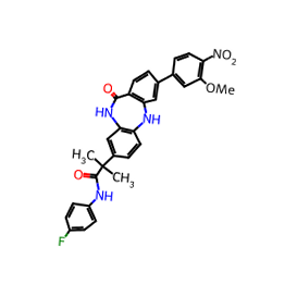 COc1cc(-c2ccc3c(c2)Nc2ccc(C(C)(C)C(=O)Nc4ccc(F)cc4)cc2NC3=O)ccc1[N+](=O)[O-]